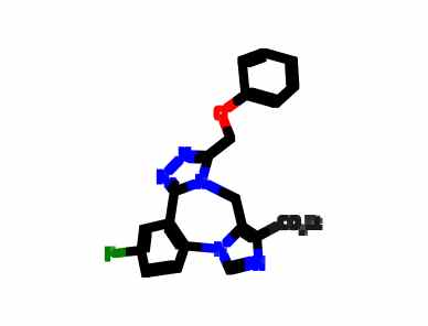 CCOC(=O)c1ncn2c1Cn1c(COc3ccccc3)nnc1-c1cc(F)ccc1-2